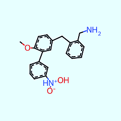 COc1ccc(Cc2ccccc2CN)cc1-c1cccc([NH+]([O-])O)c1